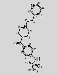 CS(=O)(=O)Nc1ccc(C(=O)C2CCN(CCc3cccnc3)CC2)cc1